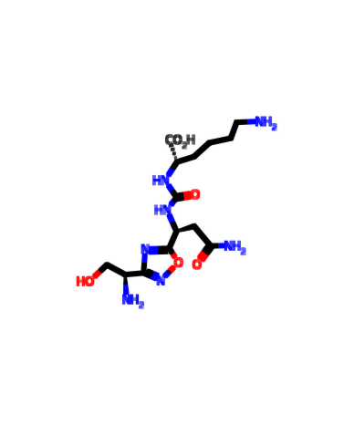 NCCCC[C@H](NC(=O)N[C@@H](CC(N)=O)c1nc([C@@H](N)CO)no1)C(=O)O